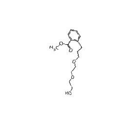 COC(=O)c1ccccc1CCCOCCOCCO